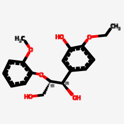 CCOc1ccc([C@@H](O)[C@H](CO)Oc2ccccc2OC)cc1O